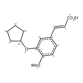 CCOC(=O)/C=C/c1ccc(OC)c(OC2CCCC2)c1